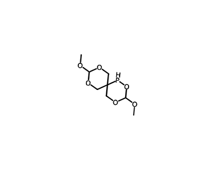 COC1OCC2(CO1)COC(OC)OP2